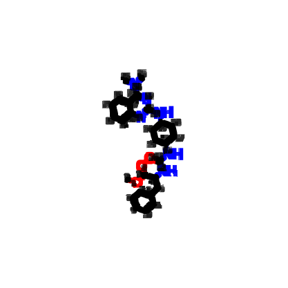 COC(=O)C(Cc1ccccc1)NC(=O)N[C@H]1CC[C@@H](Nc2nc(N(C)C)c3ccccc3n2)CC1